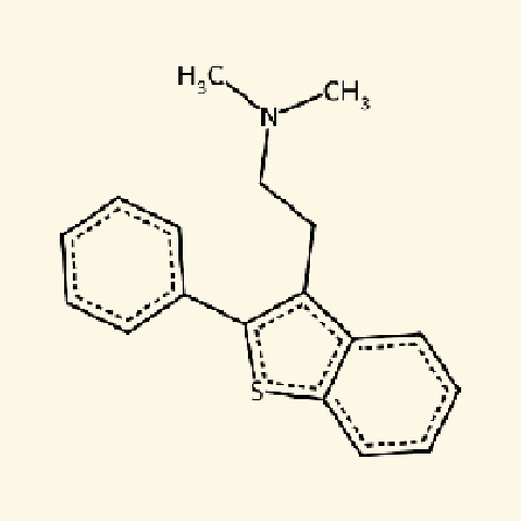 CN(C)CCc1c(-c2ccccc2)sc2ccccc12